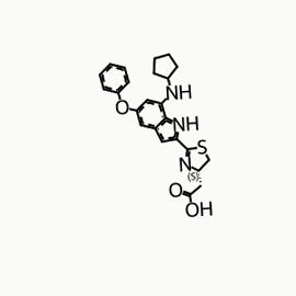 O=C(O)C[C@H]1CSC(c2cc3cc(Oc4ccccc4)cc(NC4CCCC4)c3[nH]2)=N1